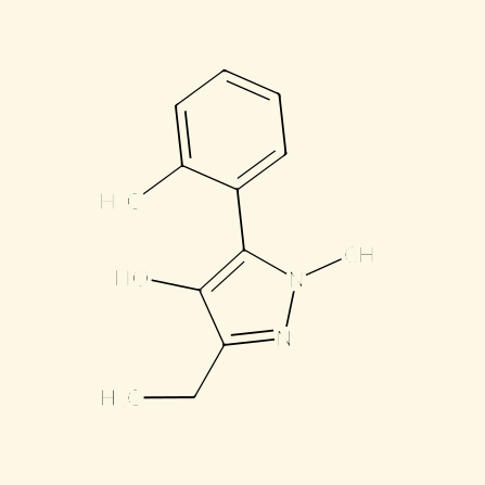 CCc1nn(C)c(-c2ccccc2C)c1O